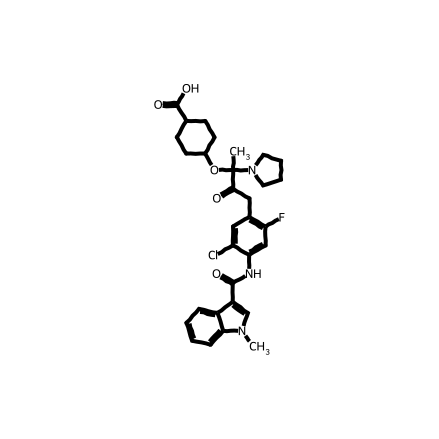 Cn1cc(C(=O)Nc2cc(F)c(CC(=O)C(C)(OC3CCC(C(=O)O)CC3)N3CCCC3)cc2Cl)c2ccccc21